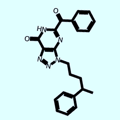 CC(CCCn1nnc2c(=O)[nH]c(C(=O)c3ccccc3)nc21)c1ccccc1